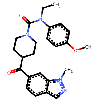 CCN(C(=O)N1CCC(C(=O)c2ccc3cnn(C)c3c2)CC1)c1ccc(OC)cc1